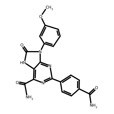 COc1cccc(-n2c(=O)[nH]c3c(C(N)=O)nc(-c4ccc(C(N)=O)cc4)nc32)c1